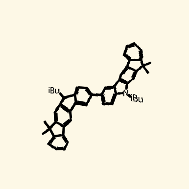 CCC(C)C1c2ccc(-c3ccc4c(c3)c3cc5c(cc3n4C(C)CC)C(C)(C)c3ccccc3-5)cc2-c2cc3c(cc21)C(C)(C)c1ccccc1-3